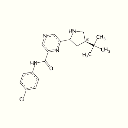 CC(C)(C)[C@@H]1CNC(c2cncc(C(=O)Nc3ccc(Cl)cc3)n2)C1